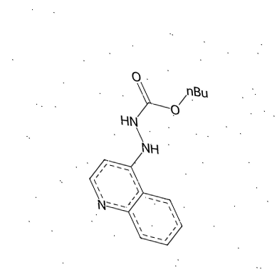 CCCCOC(=O)NNc1ccnc2ccccc12